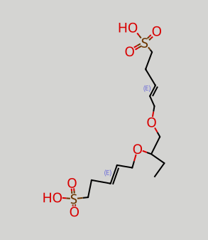 CCC(COC/C=C/CCS(=O)(=O)O)OC/C=C/CCS(=O)(=O)O